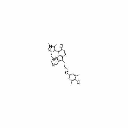 Cc1cc(OCCCc2c3n(c4c(-c5c(C)nn(C)c5C)c(Cl)ccc24)[C@H](C)CN=C3)cc(C)c1Cl